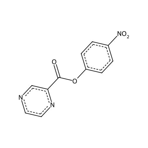 O=C(Oc1ccc([N+](=O)[O-])cc1)c1cnccn1